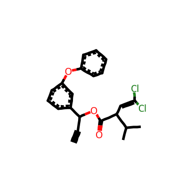 C#CC(OC(=O)C(C=C(Cl)Cl)C(C)C)c1cccc(Oc2ccccc2)c1